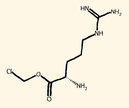 N=C(N)NCCC[C@H](N)C(=O)OCCl